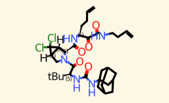 C=CCCNC(=O)C(=O)[C@H](CCC=C)NC(=O)[C@@H]1[C@@H]2[C@H](CN1C(=O)[C@@H](NC(=O)NC13CC4CC(CC(C4)C1)C3)C(C)(C)C)C2(Cl)Cl